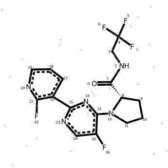 O=C(NCC(F)(F)F)[C@@H]1CCCN1c1nc(-c2cccnc2F)ncc1F